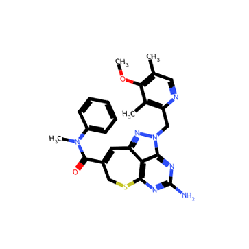 COc1c(C)cnc(Cn2nc3c4c(nc(N)nc42)SCC(C(=O)N(C)c2ccccc2)=C3)c1C